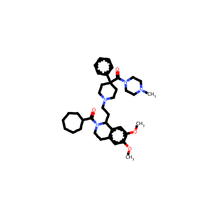 COc1cc2c(cc1OC)C(CCN1CCC(C(=O)N3CCN(C)CC3)(c3ccccc3)CC1)N(C(=O)C1CCCCCC1)CC2